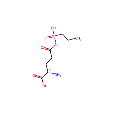 CCCP(=O)(O)OC(=O)CC[C@H](N)C(=O)O